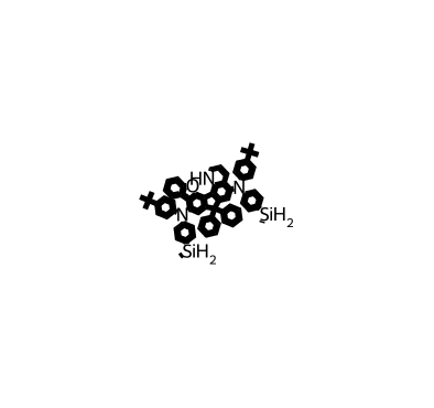 C[SiH2]c1ccc(N(c2ccc(C(C)(C)C)cc2)c2cc3c(c4c2C=CCN4)-c2c(cc(N(c4ccc([SiH2]C)cc4)c4ccc(C(C)(C)C)cc4)c4c2oc2ccccc24)C3(c2ccccc2)c2ccccc2)cc1